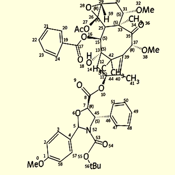 COc1ccc(C2O[C@@H](C(=O)O[C@H]3C[C@@]4(O)[C@@H](OC(=O)c5ccccc5)C5[C@]6(OC(C)=O)O[C@@H]6C[C@H](OC)[C@@]5(C)C(=O)[C@H](OC)C(=C3C)C4(C)C)[C@H](c3ccccc3)N2C(=O)OC(C)(C)C)cc1